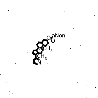 CCCCCCCCCC(=O)OC1CC[C@@]2(C)C(=CCC3C2CC[C@]2(C)C(c4cccnc4)=CCC32)C1